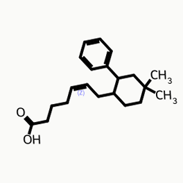 CC1(C)CCC(C/C=C\CCCC(=O)O)C(c2ccccc2)C1